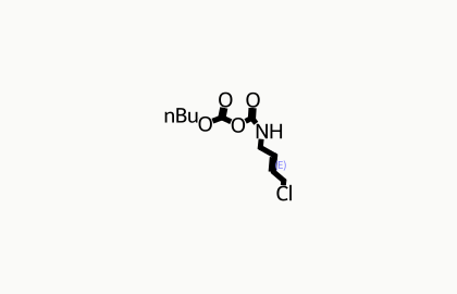 CCCCOC(=O)OC(=O)NC/C=C/CCl